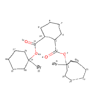 CC(C)C1(OC(=O)C2CCCCC2C(=O)OC2(C(C)C)CCCCC2)CCCCC1